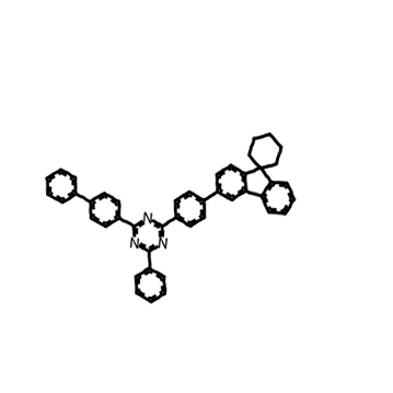 c1ccc(-c2ccc(-c3nc(-c4ccccc4)nc(-c4ccc(-c5ccc6c(c5)-c5ccccc5C65CCCCC5)cc4)n3)cc2)cc1